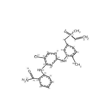 C=CP(C)(=O)Cc1ccc(C)c(Nc2ncc(Cl)c(Nc3ccccc3C(N)=O)n2)c1